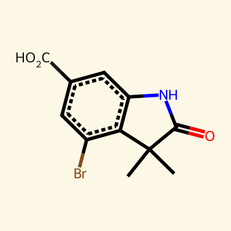 CC1(C)C(=O)Nc2cc(C(=O)O)cc(Br)c21